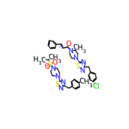 CC1CN(c2nc(Cc3ccc(Cl)cc3)ns2)CCN1C(=O)/C=C/c1ccccc1.Cc1ccc(Cc2nsc(N3CCN(S(=O)(=O)C(C)C)CC3)n2)cc1